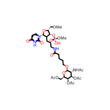 COC[C@H]1O[C@@H](n2ccc(=O)[nH]c2=O)C(CCCNC(=O)CCCCO[C@@H]2O[C@H](COC(C)=O)[C@H](OC(C)=O)[C@H](OC(C)=O)[C@H]2NC(C)=O)[C@H]1OP(=O)(O)OC